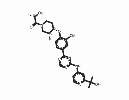 C[C@H](O)C(=O)N1CC[C@H](Oc2ccc(-c3ncnc(Nc4ccnc(C(C)(C)O)c4)n3)cc2C#N)[C@H](F)C1